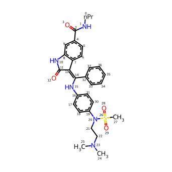 CCCNC(=O)c1ccc2c(c1)NC(=O)/C2=C(\Nc1ccc(N(CCN(C)C)S(C)(=O)=O)cc1)c1ccccc1